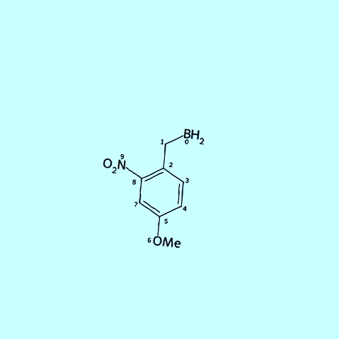 BCc1ccc(OC)cc1[N+](=O)[O-]